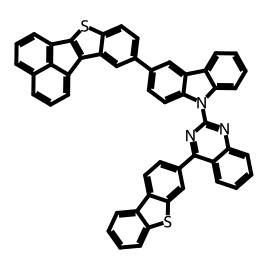 c1cc2c3c(cccc3c1)-c1c-2sc2ccc(-c3ccc4c(c3)c3ccccc3n4-c3nc(-c4ccc5c(c4)sc4ccccc45)c4ccccc4n3)cc12